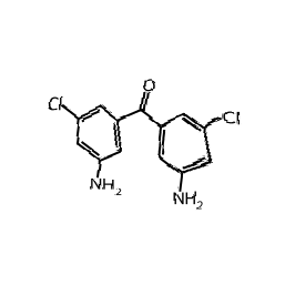 Nc1cc(Cl)cc(C(=O)c2cc(N)cc(Cl)c2)c1